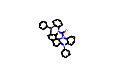 O=c1n2c3ccccc3n(-c3ccccc3)c3ccc4ccc5c(c4c3-2)n1-c1ccccc1B5c1ccccc1